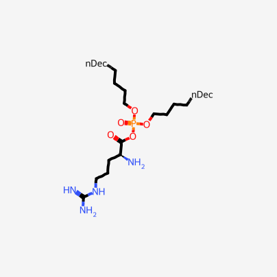 CCCCCCCCCCCCCCOP(=O)(OCCCCCCCCCCCCCC)OC(=O)[C@@H](N)CCCNC(=N)N